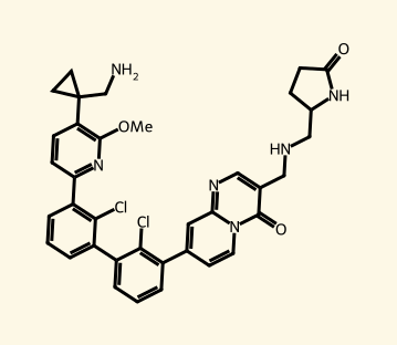 COc1nc(-c2cccc(-c3cccc(-c4ccn5c(=O)c(CNCC6CCC(=O)N6)cnc5c4)c3Cl)c2Cl)ccc1C1(CN)CC1